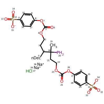 CCCCCCCCCCC(CCOC(=O)Oc1ccc(S(=O)(=O)[O-])cc1)C(C)(P)CCOC(=O)Oc1ccc(S(=O)(=O)[O-])cc1.Cl.[Na+].[Na+]